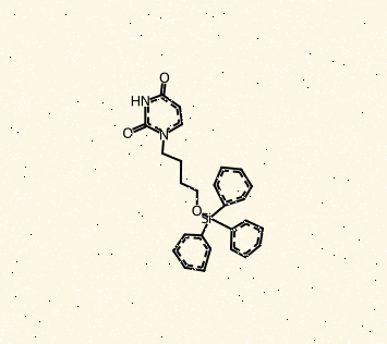 O=c1ccn(CCCCO[Si](c2ccccc2)(c2ccccc2)c2ccccc2)c(=O)[nH]1